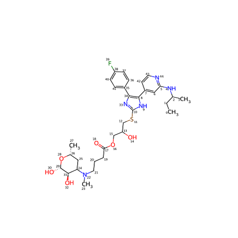 CCC(C)Nc1cc(-c2[nH]c(SCC(O)COC(=O)CCCN(C)C3C[C@@H](C)O[C@@H](O)[C@@H]3O)nc2-c2ccc(F)cc2)ccn1